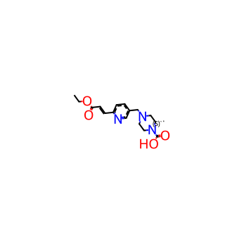 CCOC(=O)C=Cc1ccc(CN2CCN(C(=O)O)[C@@H](C)C2)cn1